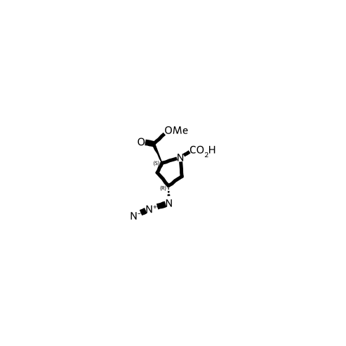 COC(=O)[C@@H]1C[C@@H](N=[N+]=[N-])CN1C(=O)O